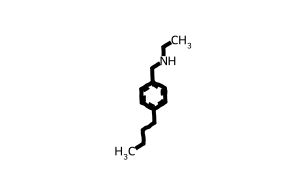 CCCCc1ccc(CNCC)cc1